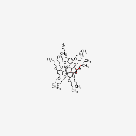 CCCCOc1cc(OCCCC)c(OCCCC)c([SiH](O[SiH](c2cc(OCCCC)cc(OCCCC)c2OCCCC)c2cc(OCCCC)cc(OCCCC)c2OCCCC)c2cc(OCCCC)cc(OCCCC)c2OCCCC)c1